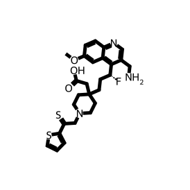 COc1ccc2ncc(CN)c([C@H](F)CCC3(CC(=O)O)CCN(CC(=S)c4cccs4)CC3)c2c1